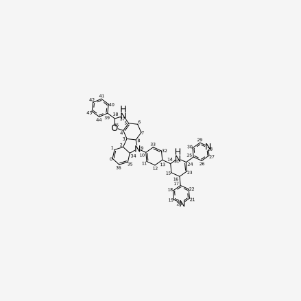 C1=CC2C3C4=C(CCC3N(C3=CCC(C5CC(c6ccncc6)C=C(c6ccncc6)N5)C=C3)C2C=C1)NC(c1ccccc1)O4